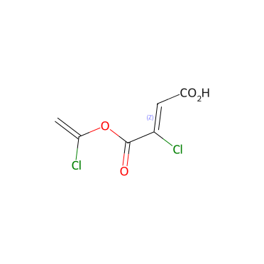 C=C(Cl)OC(=O)/C(Cl)=C/C(=O)O